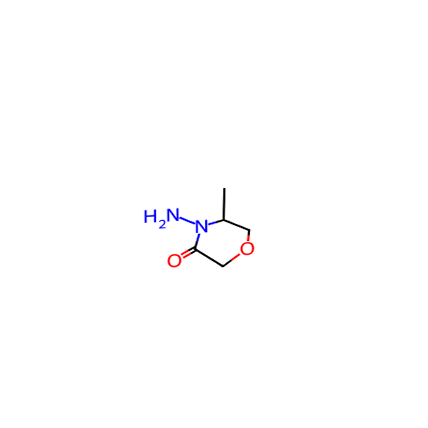 CC1COCC(=O)N1N